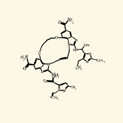 CCc1nc(C)oc1C(O)Nc1nc2cc(C(N)=O)cc3c2n1C/C=C/Cn1c(NC(=O)c2cc(C)nn2CC)nc2cc(C(N)=O)cc(c21)OCCCO3